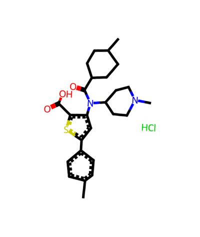 Cc1ccc(-c2cc(N(C(=O)C3CCC(C)CC3)C3CCN(C)CC3)c(C(=O)O)s2)cc1.Cl